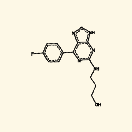 OCCCNc1nc(-c2ccc(F)cc2)c2nc[nH]c2n1